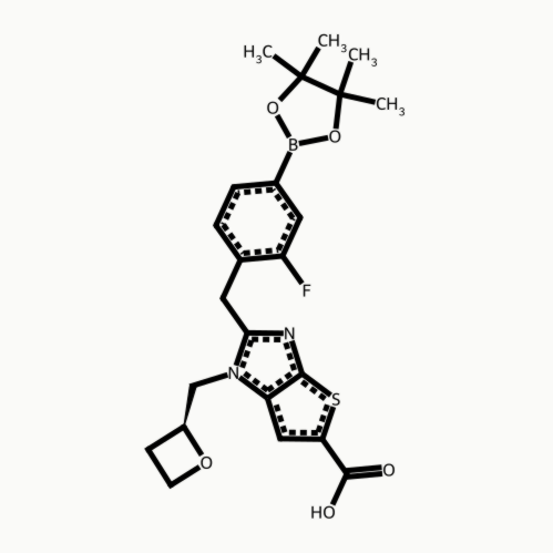 CC1(C)OB(c2ccc(Cc3nc4sc(C(=O)O)cc4n3C[C@@H]3CCO3)c(F)c2)OC1(C)C